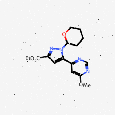 CCOC(=O)c1cc(-c2cc(OC)ncn2)n(C2CCCCO2)n1